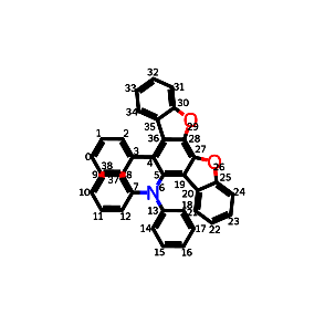 c1ccc(-c2c(N(c3ccccc3)c3ccccc3)c3c4ccccc4oc3c3oc4ccccc4c23)cc1